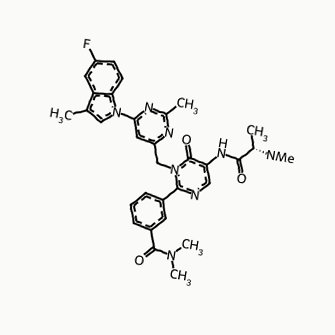 CN[C@@H](C)C(=O)Nc1cnc(-c2cccc(C(=O)N(C)C)c2)n(Cc2cc(-n3cc(C)c4cc(F)ccc43)nc(C)n2)c1=O